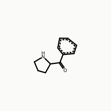 O=C(c1ccccc1)C1CCCN1